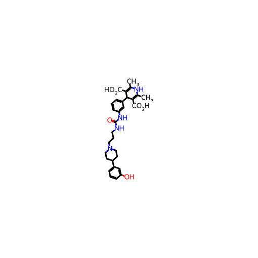 CC1=C(C(=O)O)C(c2cccc(NC(=O)NCCCN3CCC(c4cccc(O)c4)CC3)c2)C(C(=O)O)=C(C)N1